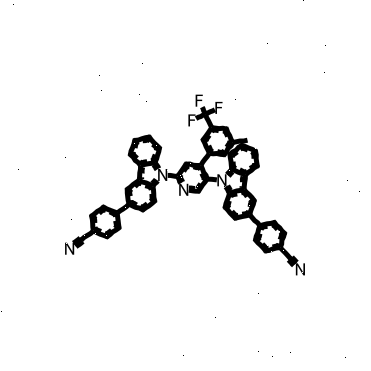 Cc1cc(-c2cc(-n3c4ccccc4c4cc(-c5ccc(C#N)cc5)ccc43)ncc2-n2c3ccccc3c3cc(-c4ccc(C#N)cc4)ccc32)cc(C(F)(F)F)c1